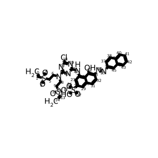 C=CS(=O)(=O)CCN(CCS(=O)(=O)C=C)c1nc(Cl)nc(Nc2cc(S(=O)(=O)O)cc3ccc(N=Nc4ccc5ccccc5c4)c(O)c23)n1